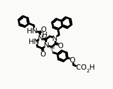 O=C(O)COc1ccc(C[C@H]2C(=O)N(Cc3cccc4ccccc34)C[C@@H]3N(C(=O)NCc4ccccc4)NCC(=O)N32)cc1